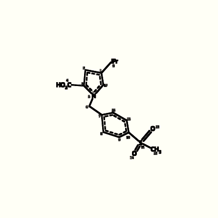 CC(C)c1cc(C(=O)O)n(Cc2ccc(S(C)(=O)=O)cc2)c1